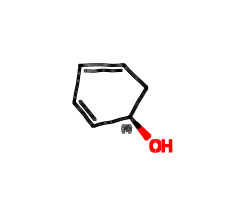 O[C@H]1C=CC=CC1